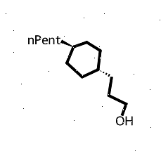 CCCCC[C@H]1CC[C@H](CCCO)CC1